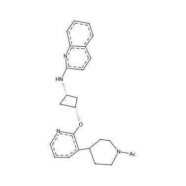 CC(=O)N1CCC(c2cccnc2O[C@H]2C[C@@H](Nc3ccc4ccccc4n3)C2)CC1